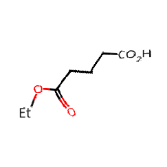 CCOC(=O)CCCC(=O)O